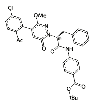 COc1nn([C@@H](Cc2ccccc2)C(=O)Nc2ccc(C(=O)OC(C)(C)C)cc2)c(=O)cc1-c1cc(Cl)ccc1C(C)=O